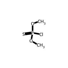 COP(=S)(Cl)OC